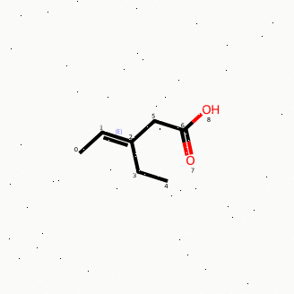 C/C=C(\CC)CC(=O)O